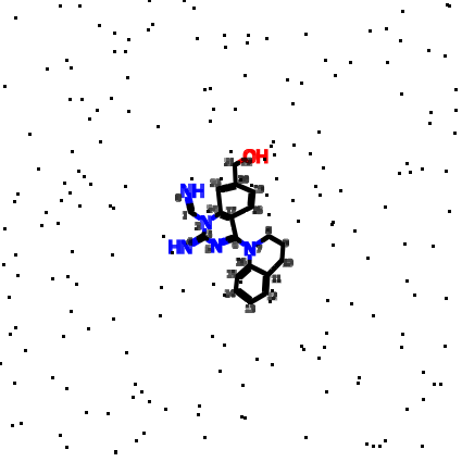 N=Cn1c(=N)nc(N2CCCc3ccccc32)c2ccc(CO)cc21